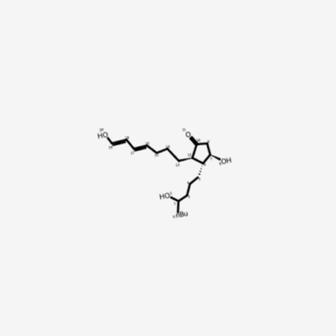 CCCCC(O)CCC[C@H]1[C@H](O)CC(=O)[C@@H]1CCCC=CC=CO